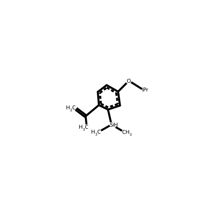 C=C(C)c1ccc(OC(C)C)cc1[SiH](C)C